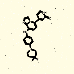 O=c1cc(-c2ccc(Nc3ccc(N4CCC(F)(F)CC4)cc3)c3nccn23)cc[nH]1